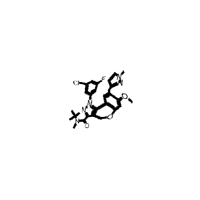 COc1cc2c(cc1-c1ccn(C)n1)-c1c(c(C(=O)N(C)C(C)(C)C)nn1-c1cc(F)cc(Cl)c1)CO2